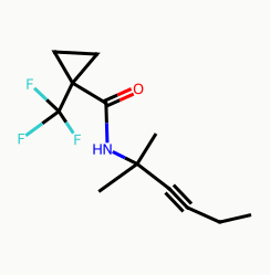 CCC#CC(C)(C)NC(=O)C1(C(F)(F)F)CC1